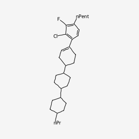 CCCCCc1ccc(C2=CCC(C3CCC(C4CCC(CCC)CC4)CC3)CC2)c(Cl)c1F